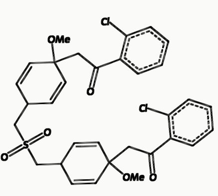 COC1(CC(=O)c2ccccc2Cl)C=CC(CS(=O)(=O)CC2C=CC(CC(=O)c3ccccc3Cl)(OC)C=C2)C=C1